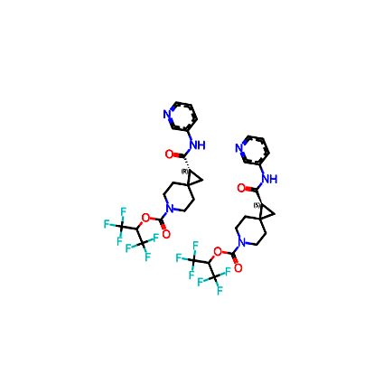 O=C(Nc1cccnc1)[C@@H]1CC12CCN(C(=O)OC(C(F)(F)F)C(F)(F)F)CC2.O=C(Nc1cccnc1)[C@H]1CC12CCN(C(=O)OC(C(F)(F)F)C(F)(F)F)CC2